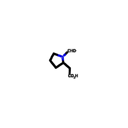 O=[C]N1CCCC1CC(=O)O